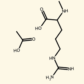 CC(=O)O.CNC(CCCNC(=N)N)C(=O)O